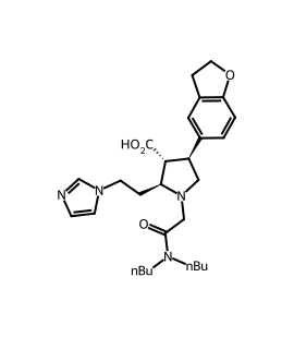 CCCCN(CCCC)C(=O)CN1C[C@H](c2ccc3c(c2)CCO3)[C@@H](C(=O)O)[C@@H]1CCn1ccnc1